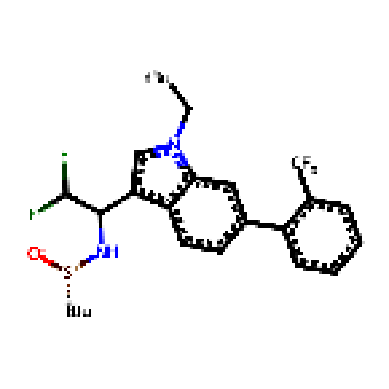 CC(C)(C)Cn1cc(C(N[S@@+]([O-])C(C)(C)C)C(F)F)c2ccc(-c3ccccc3C(F)(F)F)cc21